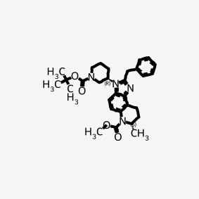 COC(=O)N1c2ccc3c(nc(Cc4ccccc4)n3[C@@H]3CCCN(C(=O)OC(C)(C)C)C3)c2CC[C@@H]1C